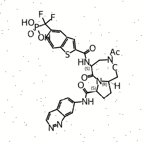 CC(=O)N1CC[C@H]2CC[C@@H](C(=O)Nc3ccc4ccnnc4c3)N2C(=O)[C@@H](NC(=O)c2cc3cc(C(F)(F)P(=O)(O)O)ccc3s2)C1